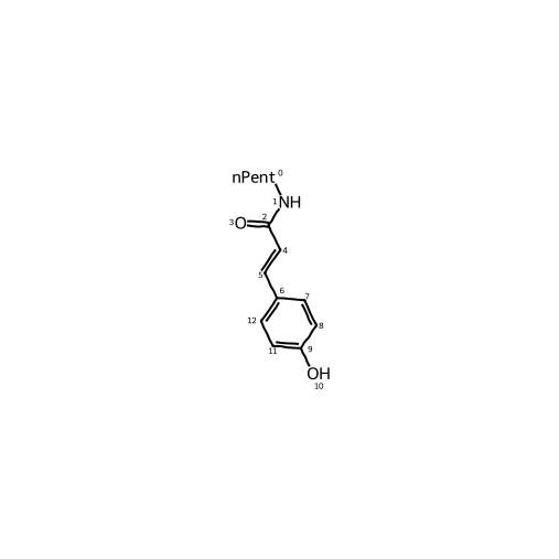 CCCCCNC(=O)C=Cc1ccc(O)cc1